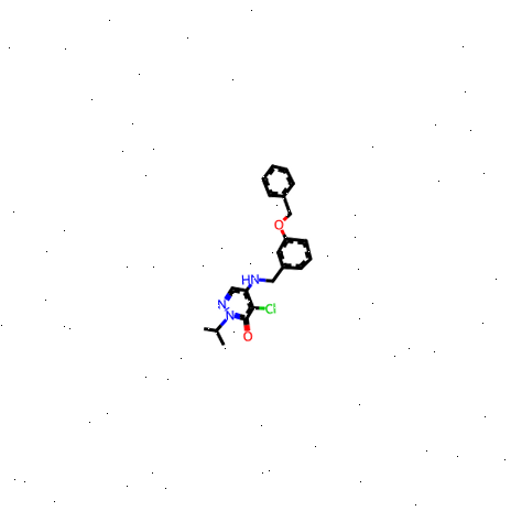 CC(C)n1ncc(NCc2cccc(OCc3ccccc3)c2)c(Cl)c1=O